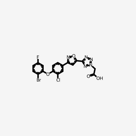 O=C(O)Cn1nnc(-c2cc(-c3ccc(Oc4cc(F)ccc4Br)c(Cl)c3)no2)n1